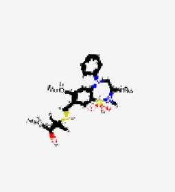 CCCCC1CN(c2ccccc2)c2cc(OC)c(CSC(C)(C)C(=O)OC)cc2S(O)(O)N1C